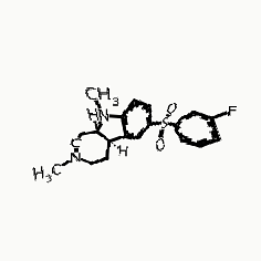 CN1CC[C@@H]2c3cc(S(=O)(=O)c4cccc(F)c4)ccc3N(C)[C@H]2CC1